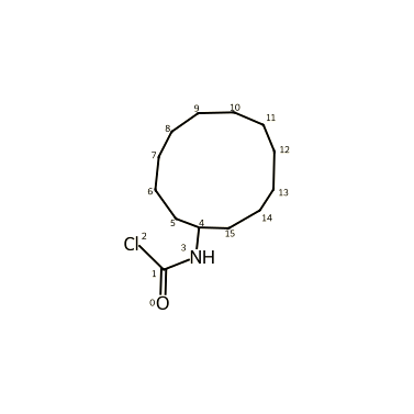 O=C(Cl)NC1CCCCCCCCCCC1